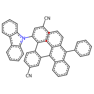 N#Cc1ccc(-c2ccc(C#N)cc2-n2c3ccccc3c3ccccc32)c(-c2c3ccccc3c(-c3ccccc3)c3ccccc23)c1